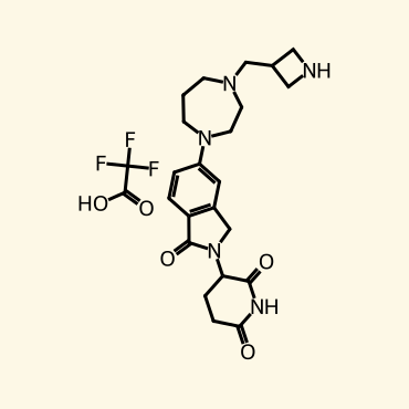 O=C(O)C(F)(F)F.O=C1CCC(N2Cc3cc(N4CCCN(CC5CNC5)CC4)ccc3C2=O)C(=O)N1